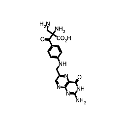 NCC(N)(C(=O)O)C(=O)c1ccc(NCc2cnc3nc(N)[nH]c(=O)c3n2)cc1